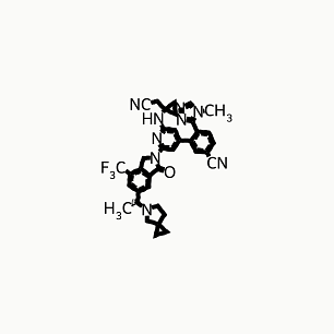 C[C@H](c1cc2c(c(C(F)(F)F)c1)CN(c1cc(-c3cc(C#N)ccc3-c3nncn3C)cc(NC3(CC#N)CC3)n1)C2=O)N1CCC2(CC2)C1